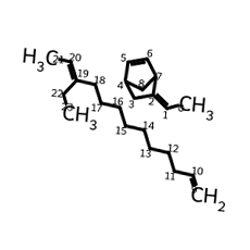 C/C=C1/CC2C=CC1C2.C=CCCCCCCCC/C(=C/C)CC